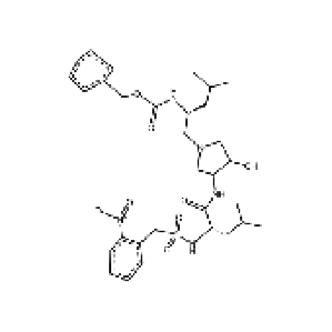 CC(C)C[C@@H](CN1CC(O)C(NC(=O)[C@H](CC(C)C)NS(=O)(=O)Cc2ccccc2[N+](=O)[O-])C1)NC(=O)OCc1ccccc1